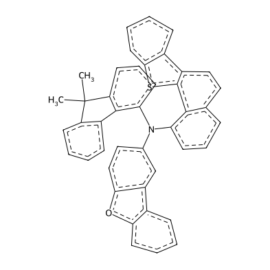 CC1(C)c2ccccc2-c2c(N(c3ccc4oc5ccccc5c4c3)c3cccc4ccc5c6ccccc6sc5c34)cccc21